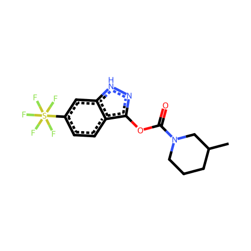 CC1CCCN(C(=O)Oc2n[nH]c3cc(S(F)(F)(F)(F)F)ccc23)C1